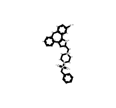 O=S(=O)(Cc1ccccc1)N1CCN(CC2CC3=C(O2)c2cc(F)ccc2Cc2ccccc23)CC1